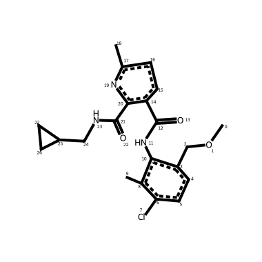 COCc1ccc(Cl)c(C)c1NC(=O)c1ccc(C)nc1C(=O)NCC1CC1